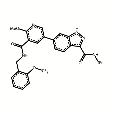 COc1ncc(-c2ccc3c(C(=O)NC(C)C)n[nH]c3c2)cc1C(=O)NCc1ccccc1OC(F)(F)F